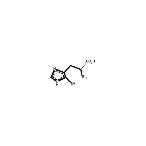 N[C@H](Cc1nc[nH]c1S)C(=O)O